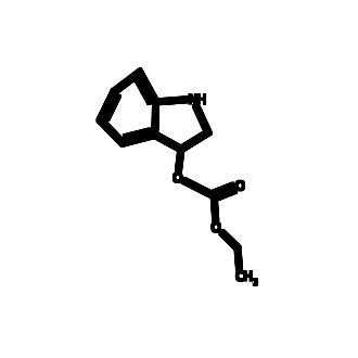 CCOC(=O)OC1CNc2ccccc21